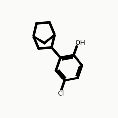 Oc1ccc(Cl)cc1C1CC2CCC1C2